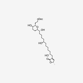 CCCCCCCCCCCC[C@H]1O[C@@H]([C@H](O)CCCC[C@H](O)CCCCC[C@@H](O)CC2=C[C@H](C)OC2=O)CC[C@H]1O